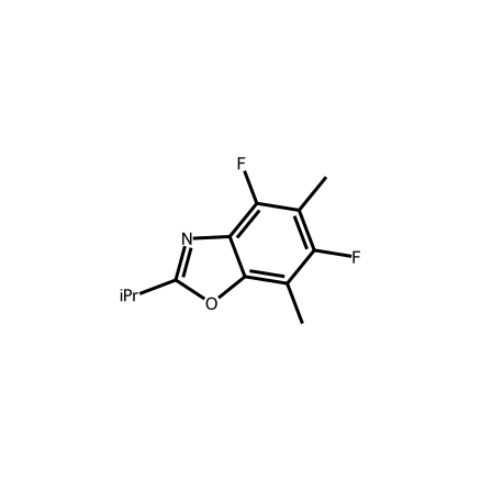 Cc1c(F)c(C)c2oc(C(C)C)nc2c1F